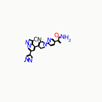 C=C(C(N)=O)c1ccc(N2CC=C(c3cc(-c4cnn(C)c4)cn4ncc(C#N)c34)CC2)nc1